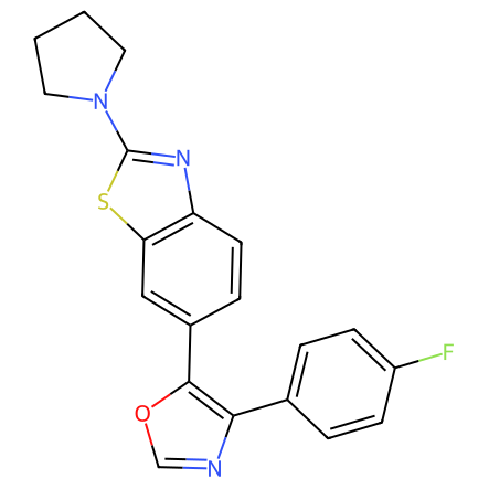 Fc1ccc(-c2ncoc2-c2ccc3nc(N4CCCC4)sc3c2)cc1